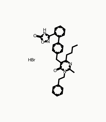 Br.CCCCc1nc(C)n(CCc2ccccc2)c(=O)c1Cc1ccc(-c2ccccc2-c2noc(=O)[nH]2)cc1